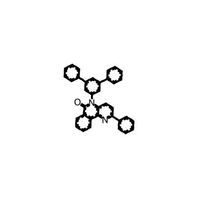 O=c1c2ccccc2c2nc(-c3ccccc3)ccc2n1-c1cc(-c2ccccc2)cc(-c2ccccc2)c1